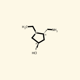 CCN1C[C@H](F)C[C@H]1CN.Cl